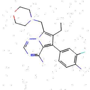 Nc1ccc(-c2c(CC=O)c(CN3CCOCC3)n3ncnc(N)c23)cc1F